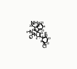 CN(C)C(=O)N1CC(c2cc(Cl)ccc2F)=CC1(CCCN)c1ccccc1